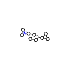 c1ccc(-c2cccc(C(Cc3ccc(-c4ccc(-n5c6ccccc6c6ccccc65)cc4)cc3)c3ccc4c5ccccc5c5ccccc5c4c3)c2)cc1